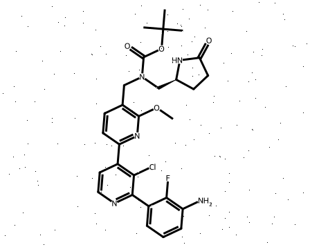 COc1nc(-c2ccnc(-c3cccc(N)c3F)c2Cl)ccc1CN(C[C@@H]1CCC(=O)N1)C(=O)OC(C)(C)C